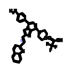 Nc1ccc(-c2cnc(N3CCOCC3)c3nc(/C=C/c4ccc5ccccc5n4)cn23)cc1.O=C(O)C(F)(F)F